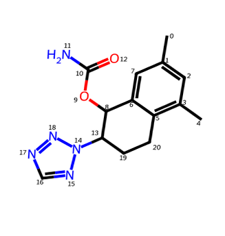 Cc1cc(C)c2c(c1)C(OC(N)=O)C(n1ncnn1)CC2